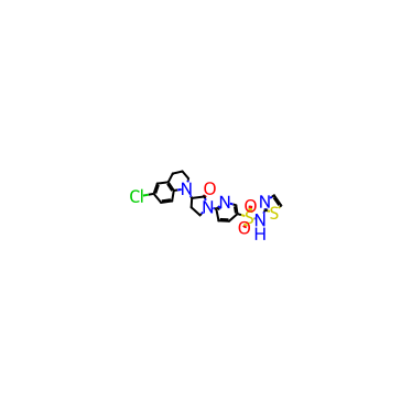 O=C1C(N2CCCc3cc(Cl)ccc32)CCN1c1ccc(S(=O)(=O)Nc2nccs2)cn1